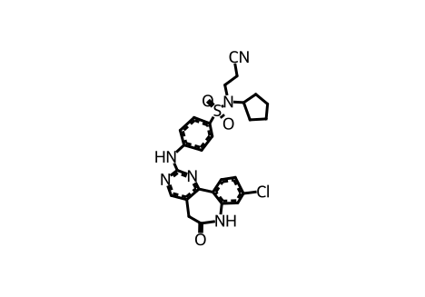 N#CCCN(C1CCCC1)S(=O)(=O)c1ccc(Nc2ncc3c(n2)-c2ccc(Cl)cc2NC(=O)C3)cc1